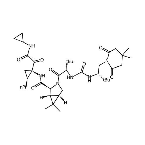 CCC[C@H]1C[C@]1(NC(=O)[C@@H]1[C@@H]2[C@H](CN1C(=O)[C@@H](NC(=O)N[C@H](CN1C(=O)CC(C)(C)CC1=O)C(C)(C)C)C(C)(C)C)C2(C)C)C(=O)C(=O)NC1CC1